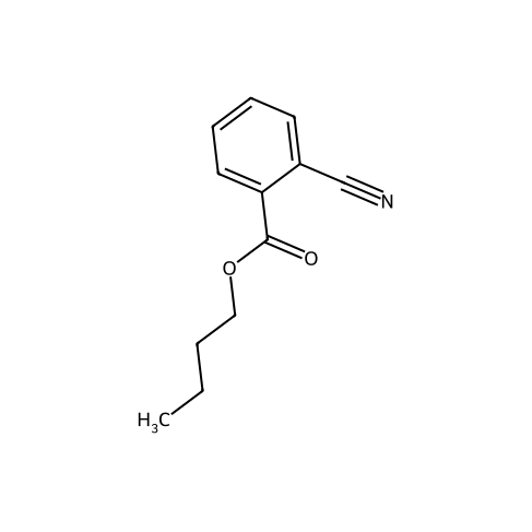 CCCCOC(=O)c1ccccc1C#N